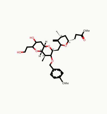 C=C1C(C[C@@H]2O[C@H]3CC(O)C(CCO)O[C@H]3[C@H](C)C2OCc2ccc(OC)cc2)O[C@@H](CCC(=O)OC)C[C@H]1C